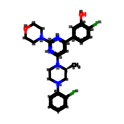 C[C@@H]1CN(c2ccccc2F)CCN1c1cc(-c2ccc(F)c(O)c2)nc(N2CCOCC2)n1